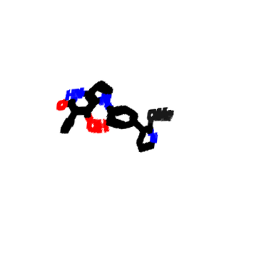 C#Cc1c(O)c2c(ccn2-c2ccc(-c3cccnc3OC)cc2)[nH]c1=O